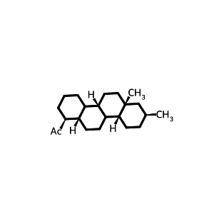 CC(=O)[C@H]1CCCC2[C@@H]3CC[C@]4(C)C[C@@H](C)CC[C@@H]4C3CC[C@@H]21